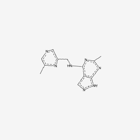 Cc1cncc(CNc2nc(C)nc3[nH]ncc23)n1